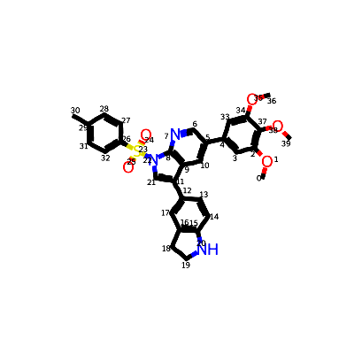 COc1cc(-c2cnc3c(c2)c(-c2ccc4c(c2)CCN4)cn3S(=O)(=O)c2ccc(C)cc2)cc(OC)c1OC